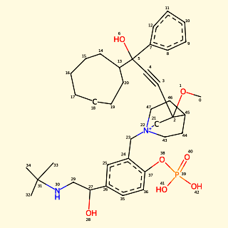 COC1(C#CC(O)(c2ccccc2)C2CCCCCCC2)C[N+]2(Cc3cc(C(O)CNC(C)(C)C)ccc3OP(=O)(O)O)CCC1CC2